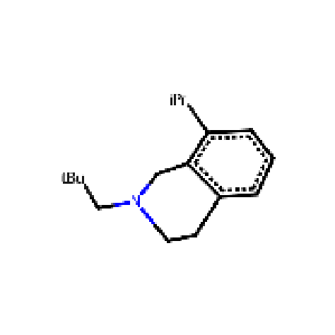 CC(C)c1cccc2c1CN(CC(C)(C)C)CC2